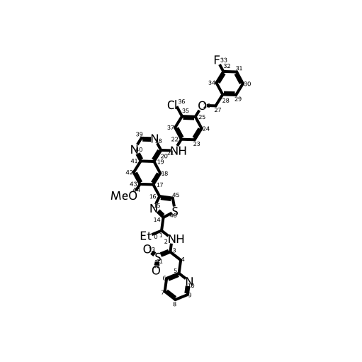 CCC(NC(Cc1ccccn1)=S(=O)=O)c1nc(-c2cc3c(Nc4ccc(OCc5cccc(F)c5)c(Cl)c4)ncnc3cc2OC)cs1